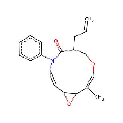 C=CCC1CO/C=C(/C)C2OC2/C=C\N(c2ccccc2)C1=O